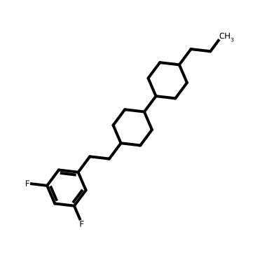 CCCC1CCC(C2CCC(CCc3cc(F)cc(F)c3)CC2)CC1